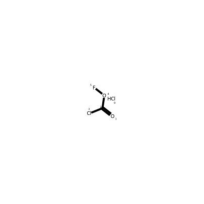 Cl.O=C(Cl)OF